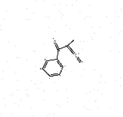 C=C=C(C)C(=O)c1ccccc1